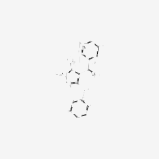 Cn1nc(Cc2ccccc2)c(C(=O)c2cccnc2)c1O